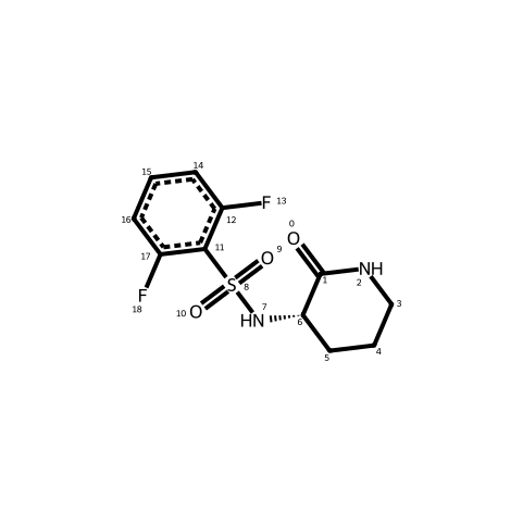 O=C1NCCC[C@@H]1NS(=O)(=O)c1c(F)cccc1F